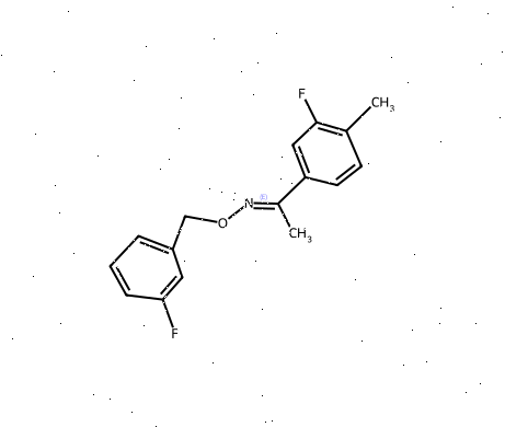 C/C(=N\OCc1cccc(F)c1)c1ccc(C)c(F)c1